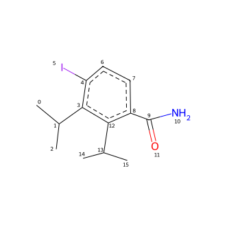 CC(C)c1c(I)ccc(C(N)=O)c1C(C)C